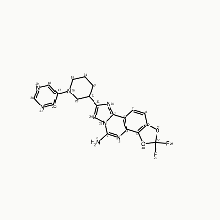 Nc1nc2c3c(ccc2c2nc(C4CCCN(c5cncnc5)C4)nn12)OC(F)(F)O3